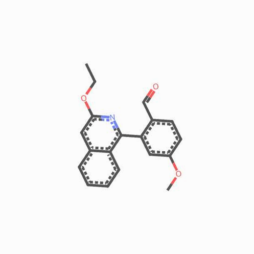 CCOc1cc2ccccc2c(-c2cc(OC)ccc2C=O)n1